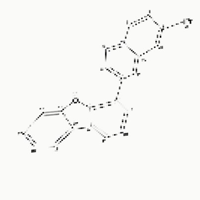 CC(C)c1ccc2ccc(-c3cccc4c3oc3ccccc34)cc2c1